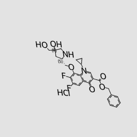 Cl.O=C(OCc1ccccc1)c1cn(C2CC2)c2c(OC[C@@H]3C[C@](O)(CO)CN3)c(F)c(F)cc2c1=O